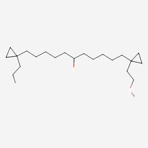 O=COCCC1(CCCCCC(O)CCCCCC2(CCC(=O)O)CC2)CC1